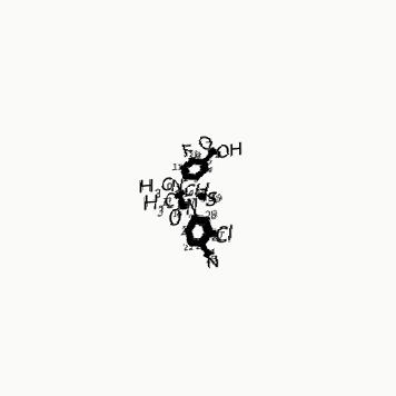 CN(c1ccc(C(=O)O)c(F)c1)C(C)(C)C(=O)N(C=S)c1ccc(C#N)c(Cl)c1